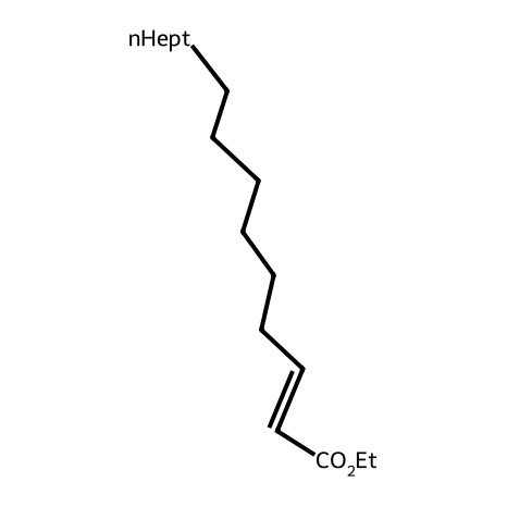 CCCCCCCCCCCCCC=CC(=O)OCC